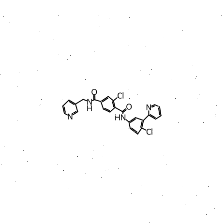 O=C(NCc1cccnc1)c1ccc(C(=O)Nc2ccc(Cl)c(-c3ccccn3)c2)c(Cl)c1